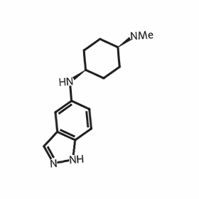 CN[C@H]1CC[C@@H](Nc2ccc3[nH]ncc3c2)CC1